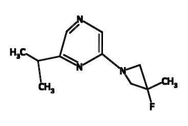 CC(C)c1cncc(N2CC(C)(F)C2)n1